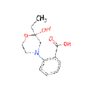 CCC1(O)CN(c2ccccc2C(=O)O)CCO1